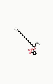 CCCCCCCCCCCCCCCCC(CCC)OC(=O)c1ccccc1C(=O)O